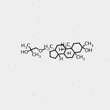 CC(C)(O)COC[C@H]1CC[C@H]2[C@@H]3CC[C@@]4(C)C[C@@](C)(O)CC[C@]4(C)[C@H]3CC[C@]12C